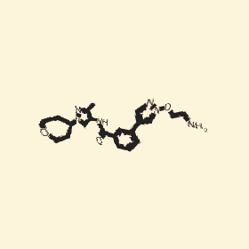 Cc1nn(C2CCOCC2)cc1NC(=O)c1cccc(-c2cnn(OCCN)c2)c1